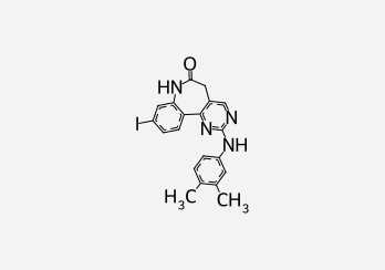 Cc1ccc(Nc2ncc3c(n2)-c2ccc(I)cc2NC(=O)C3)cc1C